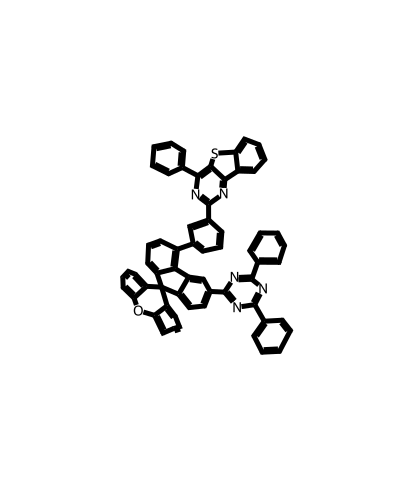 c1ccc(-c2nc(-c3ccccc3)nc(-c3ccc4c(c3)-c3c(-c5cccc(-c6nc(-c7ccccc7)c7sc8ccccc8c7n6)c5)cccc3C43c4ccccc4Oc4ccccc43)n2)cc1